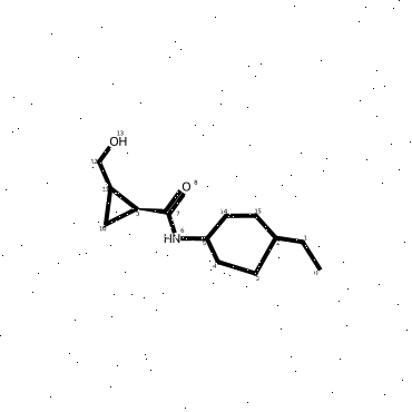 CCC1CCC(NC(=O)[C@H]2CC2CO)CC1